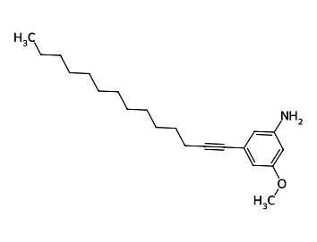 CCCCCCCCCCCCC#Cc1cc(N)cc(OC)c1